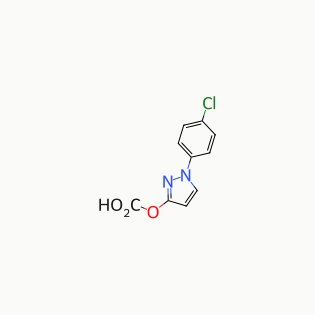 O=C(O)Oc1ccn(-c2ccc(Cl)cc2)n1